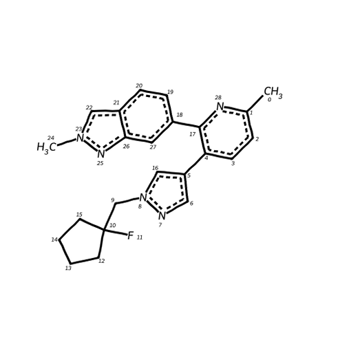 Cc1ccc(-c2cnn(CC3(F)CCCC3)c2)c(-c2ccc3cn(C)nc3c2)n1